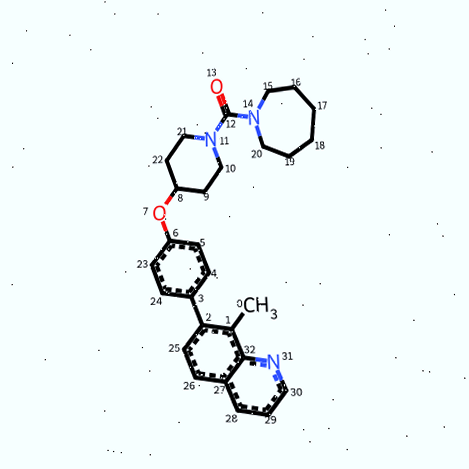 Cc1c(-c2ccc(OC3CCN(C(=O)N4CCCCCC4)CC3)cc2)ccc2cccnc12